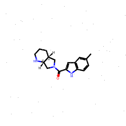 Cc1ccc2[nH]c(C(=O)N3C[C@H]4CCCN[C@H]4C3)cc2c1